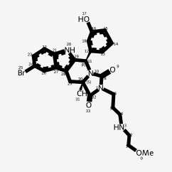 COCCNCCCN1C(=O)N2[C@H](c3cccc(O)c3)c3[nH]c4ccc(Br)cc4c3C[C@@]2(C)C1=O